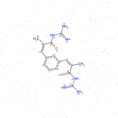 CC(=Cc1cccc(C=C(C)C(=O)NC(=N)N)c1)C(=O)NC(=N)N